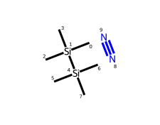 C[Si](C)(C)[Si](C)(C)C.N#N